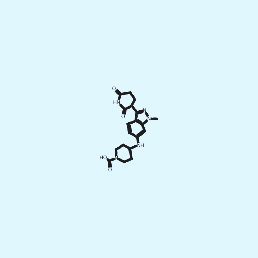 Cn1nc(C2CCC(=O)NC2=O)c2ccc(NC3CCN(C(=O)O)CC3)cc21